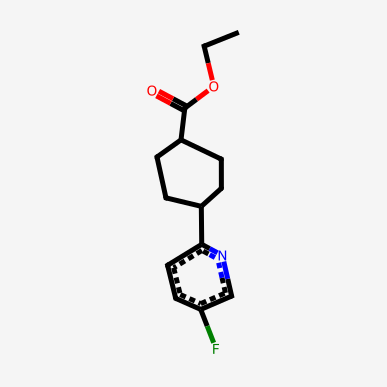 CCOC(=O)C1CCC(c2ccc(F)cn2)CC1